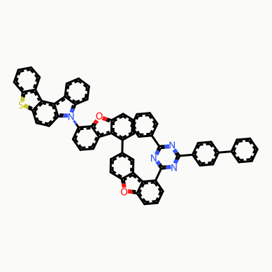 c1ccc(-c2ccc(-c3nc(-c4ccccc4)nc(-c4cccc5oc6ccc(-c7cccc8oc9c(-n%10c%11ccccc%11c%11c%12c(ccc%11%10)sc%10ccccc%10%12)cccc9c78)cc6c45)n3)cc2)cc1